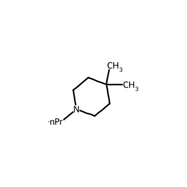 CC[CH]N1CCC(C)(C)CC1